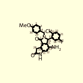 COc1ccc(CN2C(=O)c3c4c(cc(N)c3C2c2cc(F)ccc2Cl)NC(=O)C4)cc1